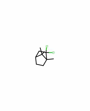 CC1(C)C2CCC1(C)C(Cl)(Cl)C2